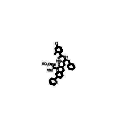 Cc1cc(Cl)ccc1C(=O)N[C@@H](Cc1ccccc1)[C@@H](O)C[C@@H](Cc1ccc(-c2ccccn2)cc1)NC(=O)[C@@H](NC(=O)O)C(C)(C)C